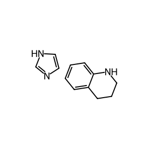 c1c[nH]cn1.c1ccc2c(c1)CCCN2